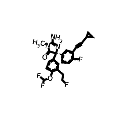 CN1C(=O)[C@](c2ccc(F)c(C#CC3CC3)c2)(c2ccc(OC(F)F)c(CCF)c2)N=C1N